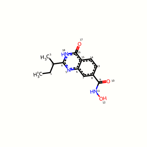 CCC(C)c1nc2cc(C(=O)NO)ccc2c(=O)[nH]1